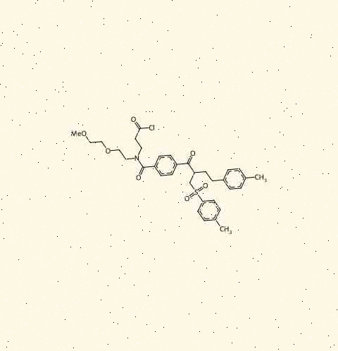 COCCOCCN(CCC(=O)Cl)C(=O)c1ccc(C(=O)C(CCc2ccc(C)cc2)CS(=O)(=O)c2ccc(C)cc2)cc1